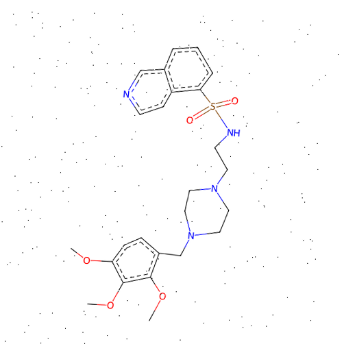 COc1ccc(CN2CCN(CCNS(=O)(=O)c3cccc4cnccc34)CC2)c(OC)c1OC